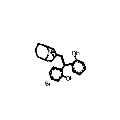 C[N+]1(C)C2CCCC1CC(C=C(c1ccccc1O)c1ccccc1O)C2.[Br-]